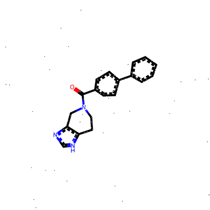 O=C(c1ccc(-c2ccccc2)cc1)N1CCc2[nH]cnc2C1